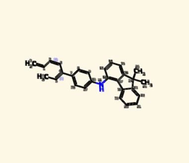 C=C/C=C\C(=C/C)c1ccc(Nc2cccc3c2-c2ccccc2C3(C)C)cc1